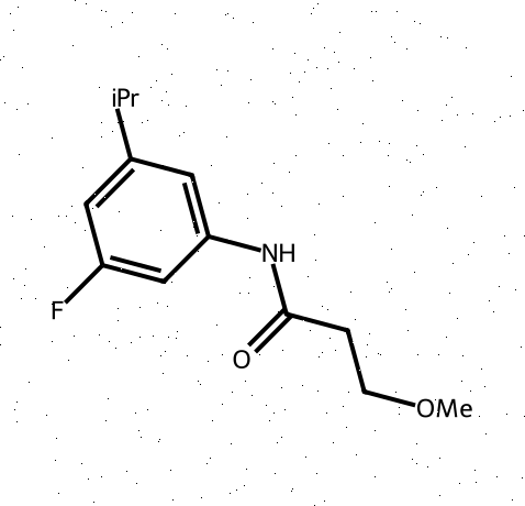 COCCC(=O)Nc1cc(F)cc(C(C)C)c1